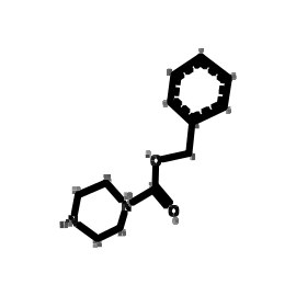 O=C(OCc1ccccc1)N1CC[N]CC1